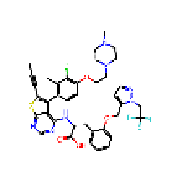 CC#Cc1sc2ncnc(N[C@H](Cc3ccccc3OCc3ccnn3CC(F)(F)F)C(=O)O)c2c1-c1ccc(OCCN2CCN(C)CC2)c(Cl)c1C